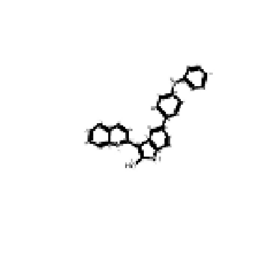 Oc1[nH]c2ccc(-c3ccc(Oc4ccccc4)cc3)cc2c1-c1ccc2ccccc2n1